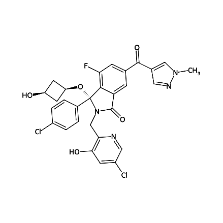 Cn1cc(C(=O)c2cc(F)c3c(c2)C(=O)N(Cc2ncc(Cl)cc2O)[C@@]3(O[C@H]2C[C@@H](O)C2)c2ccc(Cl)cc2)cn1